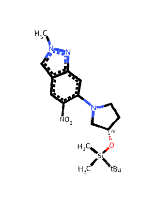 Cn1cc2cc([N+](=O)[O-])c(N3CC[C@H](O[Si](C)(C)C(C)(C)C)C3)cc2n1